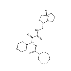 O=C(NN=C1SC[C@@H]2CCCN12)C(=O)[C@H](NC(=O)C1CCCCCC1)C1CCOCC1